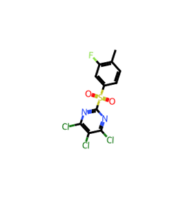 Cc1ccc(S(=O)(=O)c2nc(Cl)c(Cl)c(Cl)n2)cc1F